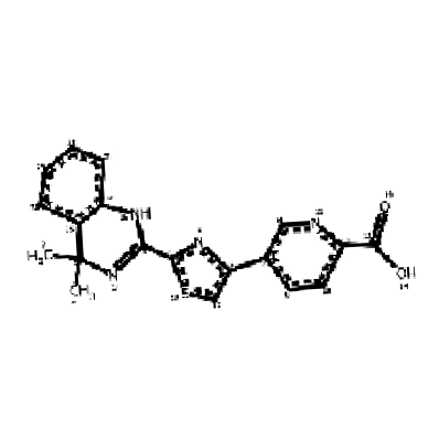 CC1(C)N=C(c2nc(-c3ccc(C(=O)O)nc3)cs2)Nc2ccccc21